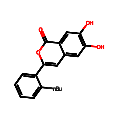 CCCCc1ccccc1-c1cc2cc(O)c(O)cc2c(=O)o1